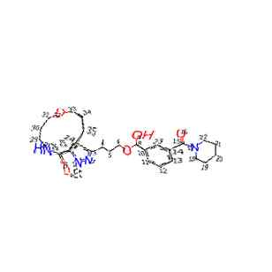 CCn1nc(CCCOC(O)c2cccc(C(=O)N3CCCCC3)c2)c2c1C(=O)NCCCOCCC2